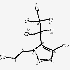 CCCn1nnc(Cl)c1C(Cl)(Cl)C(Cl)(Cl)Cl